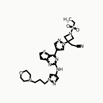 CCS(=O)(=O)N1CC(CC#N)(n2cc(-c3nc(Nc4cnn(CCCN5CCOCC5)c4)nc4ccsc34)cn2)C1